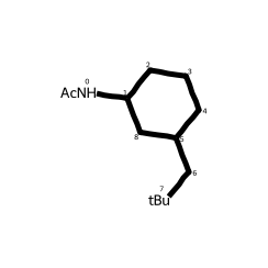 CC(=O)NC1CCCC(CC(C)(C)C)C1